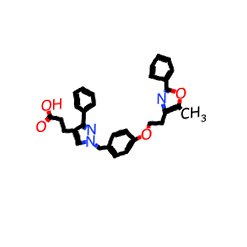 Cc1oc(-c2ccccc2)nc1CCOc1ccc(Cn2cc(CCC(=O)O)c(-c3ccccc3)n2)cc1